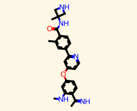 CNc1cc(Oc2ccnc(-c3ccc(C(=O)NC4(C)CNC4)c(C)c3)c2)ccc1C(C)=N